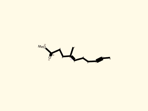 CC#CCC/C=C(\C)CCC(=O)OC